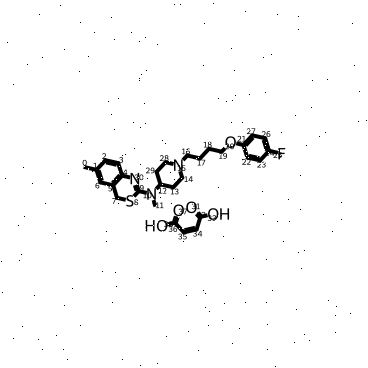 Cc1ccc2c(c1)CSC(N(C)C1CCN(CCCCOc3ccc(F)cc3)CC1)=N2.O=C(O)/C=C\C(=O)O